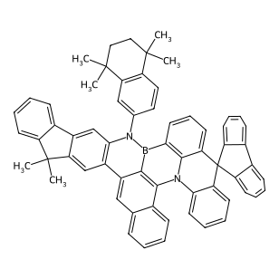 CC1(C)CCC(C)(C)c2cc(N3B4c5cccc6c5N(c5ccccc5C65c6ccccc6-c6ccccc65)c5c4c(cc4ccccc54)-c4cc5c(cc43)-c3ccccc3C5(C)C)ccc21